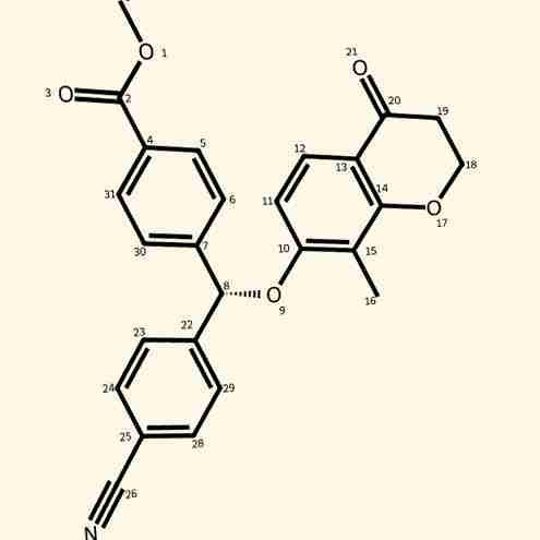 COC(=O)c1ccc([C@H](Oc2ccc3c(c2C)OCCC3=O)c2ccc(C#N)cc2)cc1